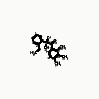 CCc1ccccc1P(=O)(O)C(=O)c1ccc(C)c(C)c1C